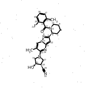 Cc1cn2nc([C@@H]3CCCCN3C(=O)c3c(C)cccc3F)cc2nc1N1C[C@@H](C#N)[C@@H](O)C1